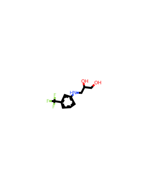 OCC(O)CNc1cccc(C(F)(F)F)c1